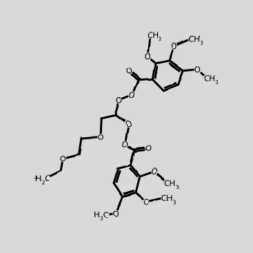 [CH2]COCCOC[C](OOC(=O)c1ccc(OC)c(OC)c1OC)OOC(=O)c1ccc(OC)c(OC)c1OC